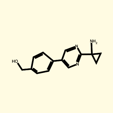 NC1(c2ncc(-c3ccc(CO)cc3)cn2)CC1